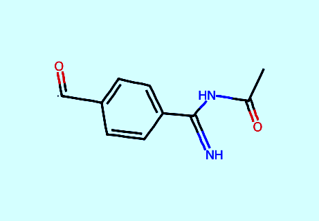 CC(=O)NC(=N)c1ccc([C]=O)cc1